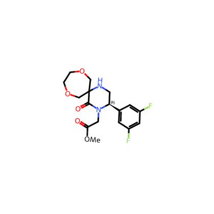 COC(=O)CN1C(=O)C2(COCCOC2)NC[C@H]1c1cc(F)cc(F)c1